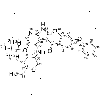 [2H]C([2H])([2H])C([2H])([2H])Oc1cnc2[nH]cc(C(=O)c3ccc(Oc4ccccc4)cc3Cl)c2c1N[C@@H]1CC[C@@H](CO)OC1